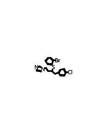 Clc1ccc(CC(CCn2ccnc2)Sc2ccccc2Br)cc1